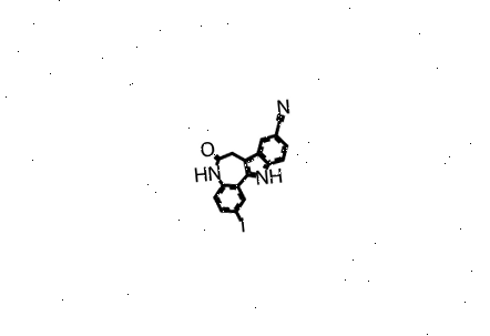 N#Cc1ccc2[nH]c3c(c2c1)CC(=O)Nc1ccc(I)cc1-3